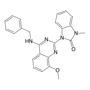 COc1cccc2c(NCc3ccccc3)nc(-n3c(=O)n(C)c4ccccc43)nc12